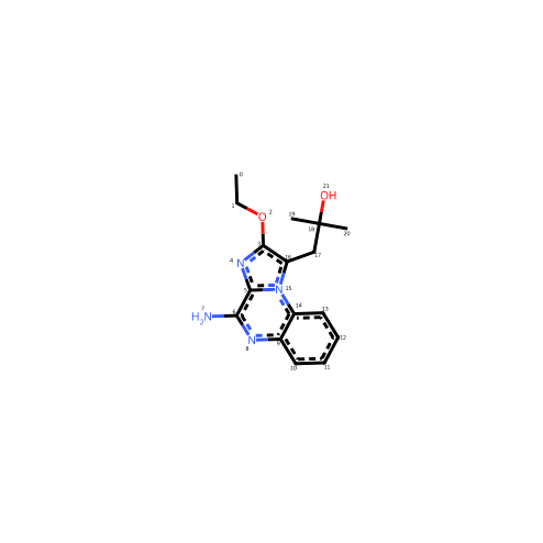 CCOc1nc2c(N)nc3ccccc3n2c1CC(C)(C)O